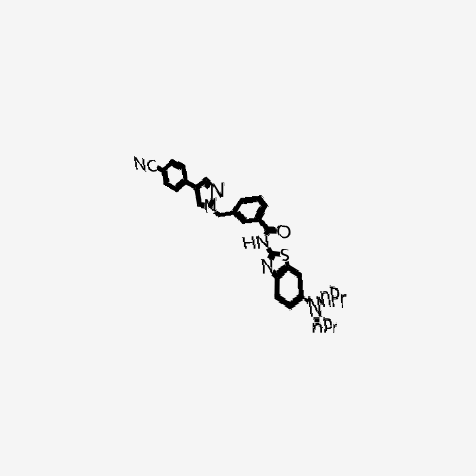 CCCN(CCC)[C@H]1CCc2nc(NC(=O)c3cccc(Cn4cc(-c5ccc(C#N)cc5)cn4)c3)sc2C1